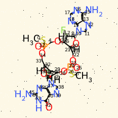 CSP1(=O)CO[C@H]2[C@@H](F)[C@H](n3cnc4c(N)ncnc43)O[C@@H]2COP(=O)(SC)O[C@@H]2[C@H](F)[C@@H](CO1)O[C@H]2n1cnc2c(=O)[nH]c(N)nc21